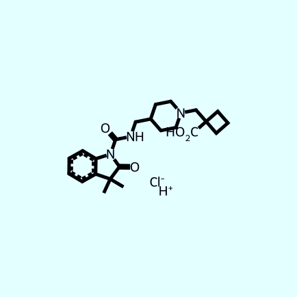 CC1(C)C(=O)N(C(=O)NCC2CCN(CC3(C(=O)O)CCC3)CC2)c2ccccc21.[Cl-].[H+]